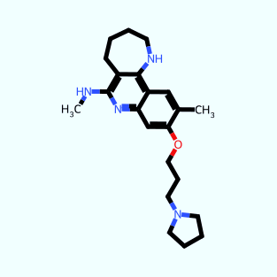 CNc1nc2cc(OCCCN3CCCC3)c(C)cc2c2c1CCCCN2